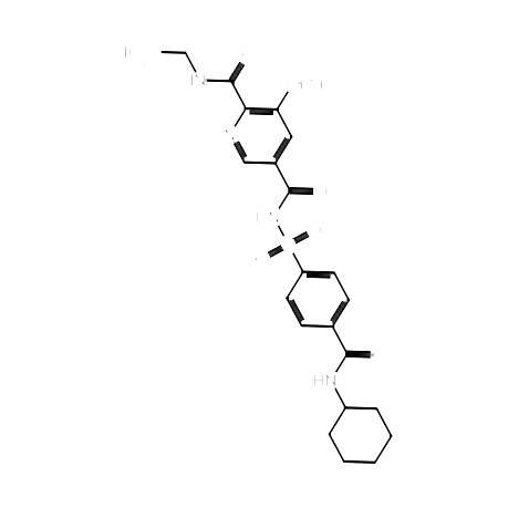 CC(C)COc1cc(C(=O)NS(=O)(=O)c2ccc(C(=O)NC3CCCCC3)cc2)cnc1C(=O)NCC(=O)O